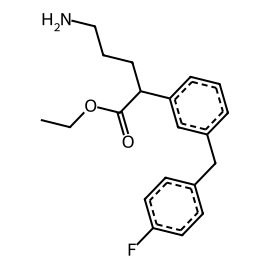 CCOC(=O)C(CCCN)c1cccc(Cc2ccc(F)cc2)c1